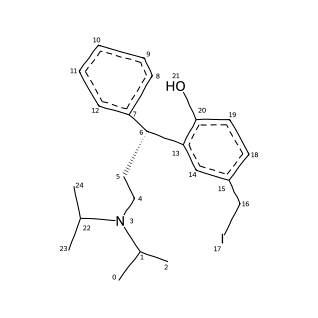 CC(C)N(CC[C@H](c1ccccc1)c1cc(CI)ccc1O)C(C)C